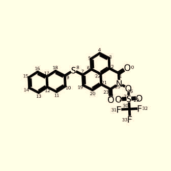 O=C1c2cccc3c(Sc4ccc5ccccc5c4)ccc(c23)C(=O)N1OS(=O)(=O)C(F)(F)F